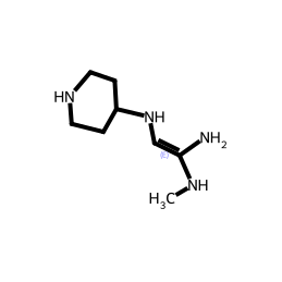 CN/C(N)=C/NC1CCNCC1